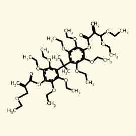 C=C(COCC)C(=O)Oc1c(OCC)c(OCC)c(C(C)(C)c2c(OCC)c(OCC)c(OC(=O)C(=C)C(OCC)OCC)c(OCC)c2OCC)c(OCC)c1OCC